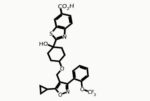 O=C(O)c1ccc2nc(C3(O)CCC(OCc4c(-c5ccccc5OC(F)(F)F)noc4C4CC4)CC3)sc2c1